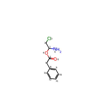 NC(CCl)OC(=O)Cc1ccccc1